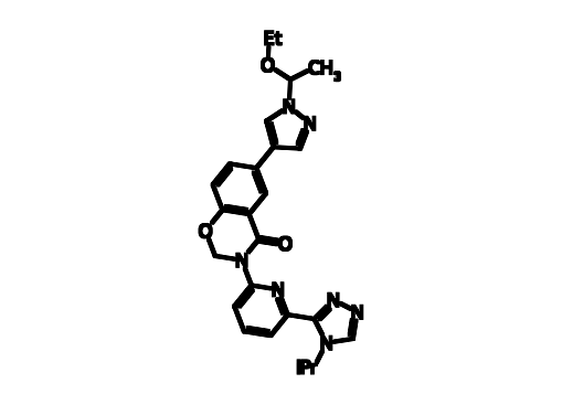 CCOC(C)n1cc(-c2ccc3c(c2)C(=O)N(c2cccc(-c4nncn4C(C)C)n2)CO3)cn1